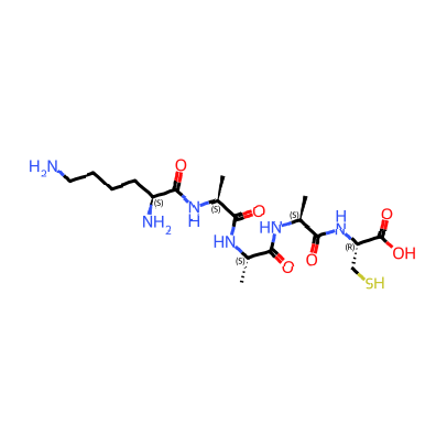 C[C@H](NC(=O)[C@H](C)NC(=O)[C@@H](N)CCCCN)C(=O)N[C@@H](C)C(=O)N[C@@H](CS)C(=O)O